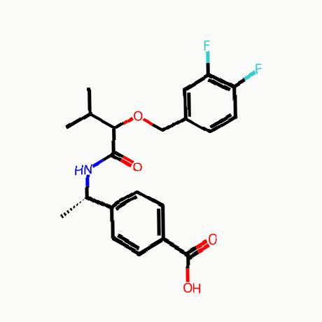 CC(C)C(OCc1ccc(F)c(F)c1)C(=O)N[C@@H](C)c1ccc(C(=O)O)cc1